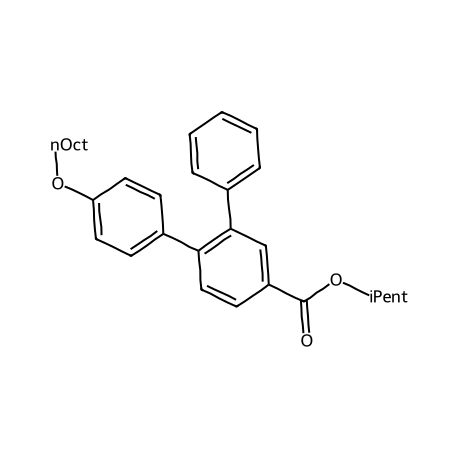 CCCCCCCCOc1ccc(-c2ccc(C(=O)OC(C)CCC)cc2-c2ccccc2)cc1